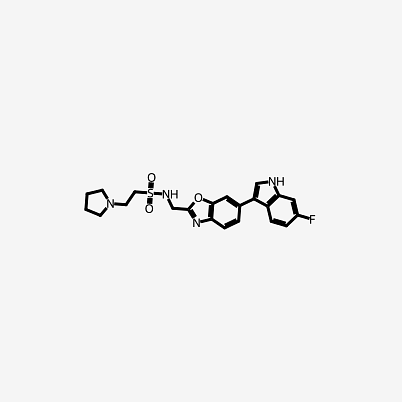 O=S(=O)(CCN1CCCC1)NCc1nc2ccc(-c3c[nH]c4cc(F)ccc34)cc2o1